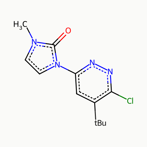 Cn1ccn(-c2cc(C(C)(C)C)c(Cl)nn2)c1=O